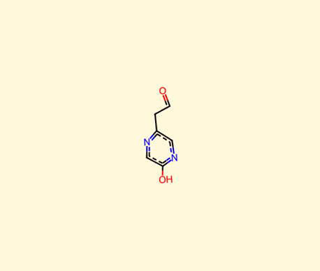 O=CCc1cnc(O)cn1